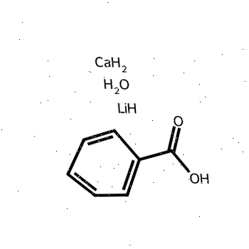 O.O=C(O)c1ccccc1.[CaH2].[LiH]